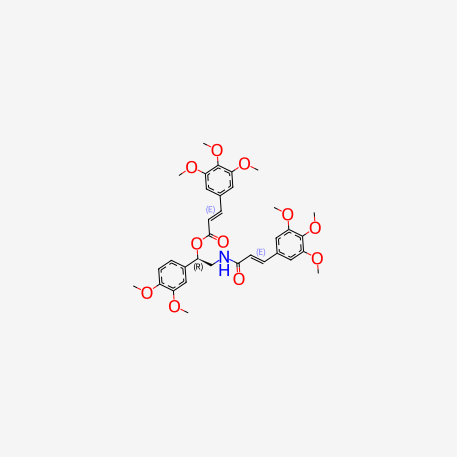 COc1ccc([C@H](CNC(=O)/C=C/c2cc(OC)c(OC)c(OC)c2)OC(=O)/C=C/c2cc(OC)c(OC)c(OC)c2)cc1OC